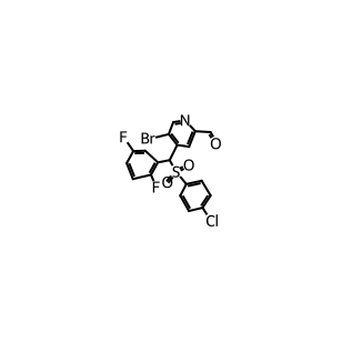 O=Cc1cc(C(c2cc(F)ccc2F)S(=O)(=O)c2ccc(Cl)cc2)c(Br)cn1